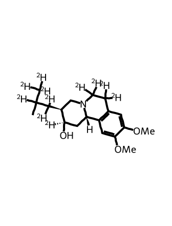 [2H]C([2H])([2H])C([2H])(C)C([2H])([2H])[C@H]1CN2[C@@H](C[C@@]1([2H])O)c1cc(OC)c(OC)cc1C([2H])([2H])C2([2H])[2H]